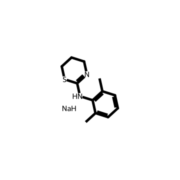 Cc1cccc(C)c1NC1=NCCCS1.[NaH]